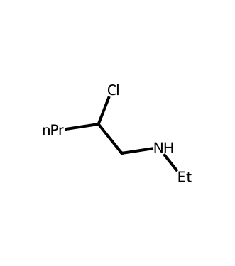 CCCC(Cl)CNCC